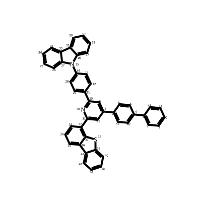 c1ccc(-c2ccc(-c3cc(-c4ccc(-n5c6ccccc6c6ccccc65)cc4)nc(-c4cccc5c4sc4ccccc45)c3)cc2)cc1